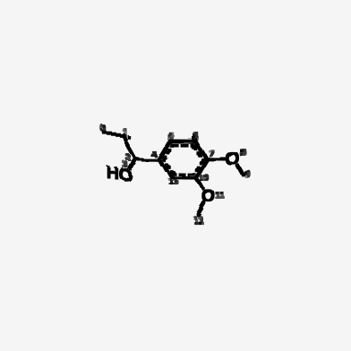 C[CH]C(O)c1ccc(OC)c(OC)c1